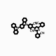 N#Cc1ccccc1-c1cc(-c2c(C#N)cc(-n3c4ccccc4c4cc(-n5c6ccccc6c6ccccc65)ccc43)cc2C#N)nc(-c2ccccc2C#N)n1